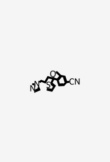 N#Cc1ccc2c(c1)COC2(CCCn1ccnc1)c1cccs1